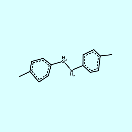 Cc1ccc([SiH2][SiH2]c2ccc(C)cc2)cc1